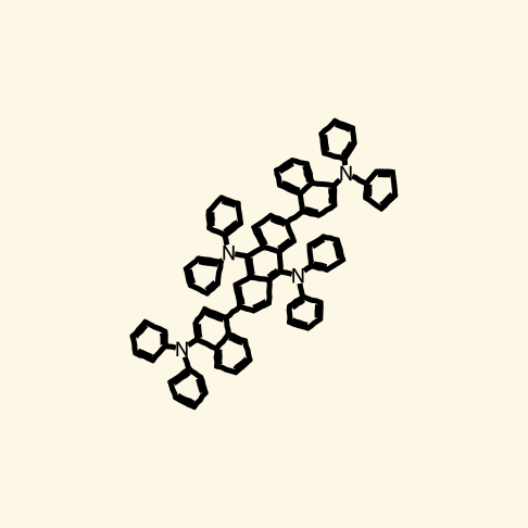 c1ccc(N(c2ccccc2)c2ccc(-c3ccc4c(N(c5ccccc5)c5ccccc5)c5cc(-c6ccc(N(c7ccccc7)c7ccccc7)c7ccccc67)ccc5c(N(c5ccccc5)c5ccccc5)c4c3)c3ccccc23)cc1